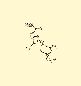 CNC(=O)c1csc2c(C(F)(F)F)cc(OC3CCN(C(=O)O)CC3C)nc12